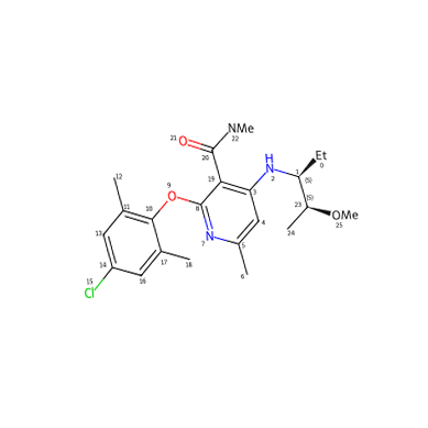 CC[C@H](Nc1cc(C)nc(Oc2c(C)cc(Cl)cc2C)c1C(=O)NC)[C@H](C)OC